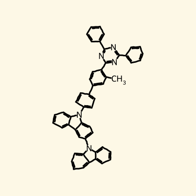 Cc1cc(-c2ccc(-n3c4ccccc4c4cc(-n5c6ccccc6c6ccccc65)ccc43)cc2)ccc1-c1nc(-c2ccccc2)nc(-c2ccccc2)n1